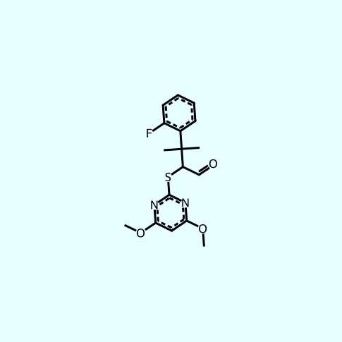 COc1cc(OC)nc(SC(C=O)C(C)(C)c2ccccc2F)n1